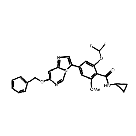 COc1cc(-c2cnc3cc(OCc4ccccc4)ncn23)cc(OC(F)F)c1C(=O)NC1CC1